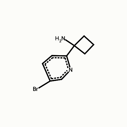 NC1(c2ccc(Br)cn2)CCC1